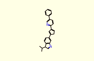 CC(C)C1C=Nc2cc(C3=CC(c4ccc(-c5ccccc5)cn4)=CC3)ccc21